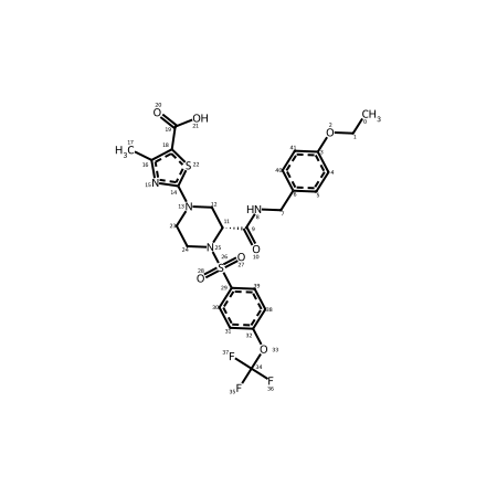 CCOc1ccc(CNC(=O)[C@H]2CN(c3nc(C)c(C(=O)O)s3)CCN2S(=O)(=O)c2ccc(OC(F)(F)F)cc2)cc1